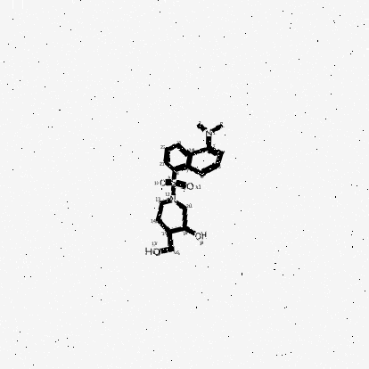 CN(C)c1cccc2c(S(=O)(=O)N3CCC(CO)C(O)C3)cccc12